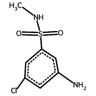 CNS(=O)(=O)c1cc(N)cc(Cl)c1